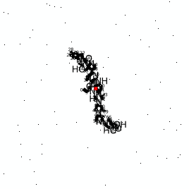 C=CC(=O)Nc1cc(Nc2nc(-c3ccnc(N4CCn5c(cc6c5CC(C)(C)C6)C4=O)c3CO)cn(C)c2=O)ccc1N1CCN(C2CCN(c3ccnc(N4CCN(P(=O)(O)O)C[C@@H]4C)c3)[C@H](C)C2)C[C@@H]1C